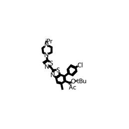 CC(=O)[C@@H](OC(C)(C)C)c1c(C)cc2nc(-c3ncc(N4CCN(C(C)C)CC4)s3)sc2c1-c1ccc(Cl)cc1